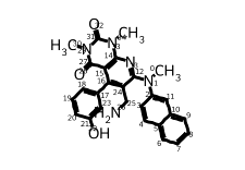 CN(c1ccc2ccccc2c1)c1nc2c(c(-c3cccc(O)c3)c1CN)c(=O)n(C)c(=O)n2C